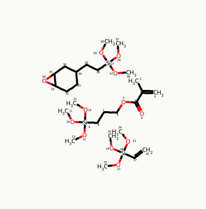 C=C(C)C(=O)OCCC[Si](OC)(OC)OC.C=C[Si](OC)(OC)OC.CO[Si](CCC1CCC2OC2C1)(OC)OC